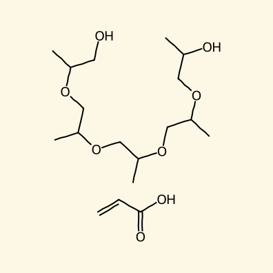 C=CC(=O)O.CC(O)COC(C)COC(C)COC(C)COC(C)CO